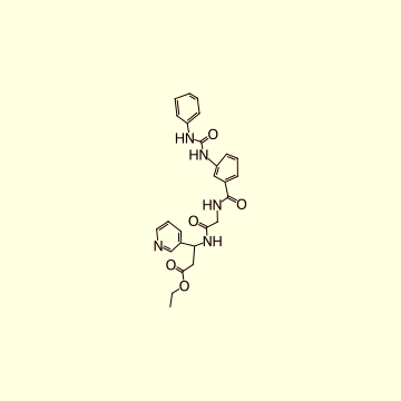 CCOC(=O)CC(NC(=O)CNC(=O)c1cccc(NC(=O)Nc2ccccc2)c1)c1cccnc1